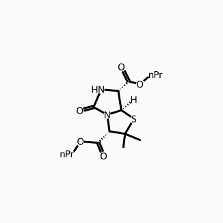 CCCOC(=O)[C@H]1NC(=O)N2[C@@H]1SC(C)(C)[C@@H]2C(=O)OCCC